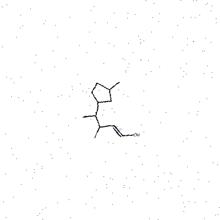 CC1CCC(C(C)C(C)/C=C/O)C1